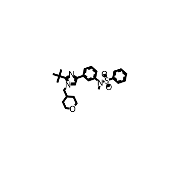 CN(c1cccc(-c2cn(CC3CCOCC3)c(C(C)(C)C)n2)c1)S(=O)(=O)c1ccccc1